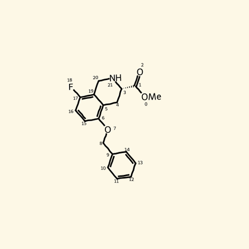 COC(=O)[C@@H]1Cc2c(OCc3ccccc3)ccc(F)c2CN1